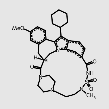 COc1ccc2c(c1)C[C@@H]1Cn3c-2c(C2CCCCC2)c2ccc(cc23)C(=O)NS(=O)(=O)N(C)CCN2CCN(CC2)C1=O